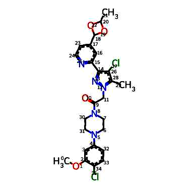 COc1cc(N2CCN(C(=O)Cn3nc(-c4cc(C5OC(C)O5)ccn4)c(Cl)c3C)CC2)ccc1Cl